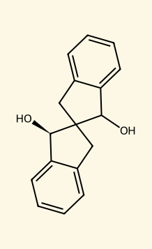 OC1c2ccccc2CC12Cc1ccccc1[C@H]2O